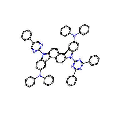 c1ccc(-c2cnc(-n3c4ccc(N(c5ccccc5)c5ccccc5)cc4c4c5ccc6c(c5ccc43)c3cc(N(c4ccccc4)c4ccccc4)ccc3n6-c3nc(-c4ccccc4)nc(-c4ccccc4)n3)nc2)cc1